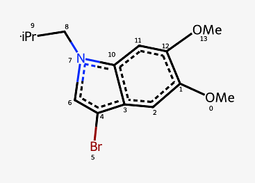 COc1cc2c(Br)cn(C[C](C)C)c2cc1OC